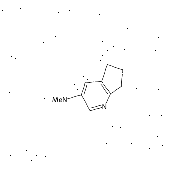 CNc1cnc2c(c1)CCC2